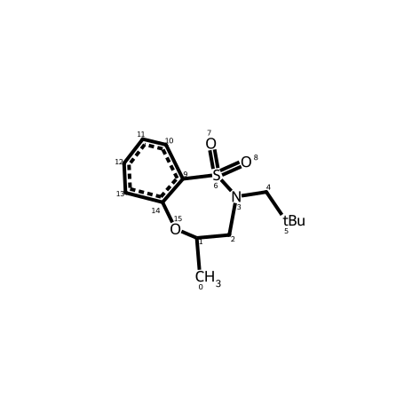 CC1CN(CC(C)(C)C)S(=O)(=O)c2ccccc2O1